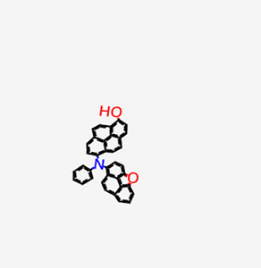 Oc1ccc2ccc3c(N(c4ccccc4)c4ccc5oc6cccc7ccc4c5c76)ccc4ccc1c2c43